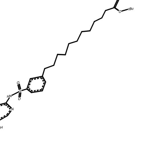 CC(C)(C)OC(=O)CCCCCCCCCCCc1cccc(S(=O)(=O)Nc2ccc(C(=O)O)cn2)c1